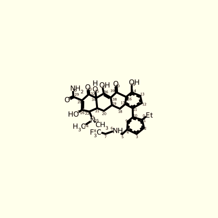 CCc1ccc(CNCC(F)(F)F)cc1-c1ccc(O)c2c1CC1CC3C(N(C)C)C(O)=C(C(N)=O)C(=O)C3(O)C(O)=C1C2=O